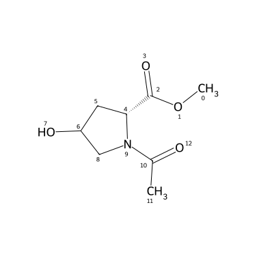 COC(=O)[C@H]1CC(O)CN1C(C)=O